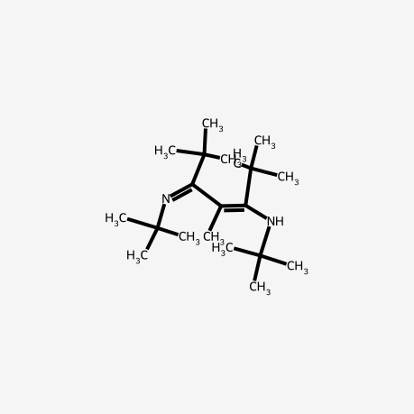 CC(C(=NC(C)(C)C)C(C)(C)C)=C(NC(C)(C)C)C(C)(C)C